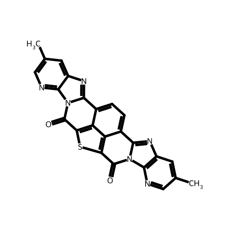 Cc1cnc2c(c1)nc1c3ccc4c5c(sc(c(=O)n21)c35)c(=O)n1c2ncc(C)cc2nc41